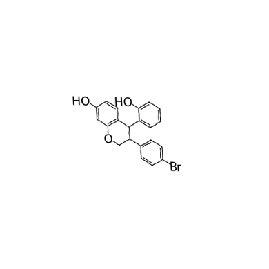 Oc1ccc2c(c1)OCC(c1ccc(Br)cc1)C2c1ccccc1O